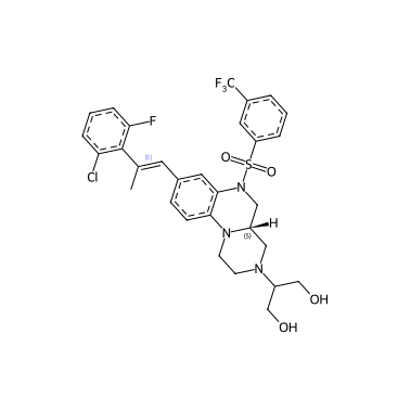 C/C(=C\c1ccc2c(c1)N(S(=O)(=O)c1cccc(C(F)(F)F)c1)C[C@@H]1CN(C(CO)CO)CCN21)c1c(F)cccc1Cl